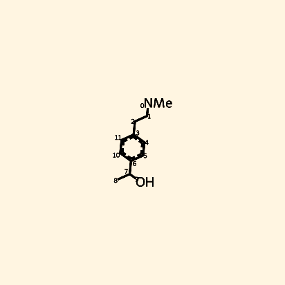 CNCCc1ccc(C(C)O)cc1